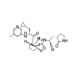 Cc1cncc(N[C@@H](CC2CC2)C(=O)N2[C@H]3CC[C@@H]([C@@H]2C(=O)N[C@H](C#N)C[C@@H]2CCNC2=O)C(F)(F)C3)c1